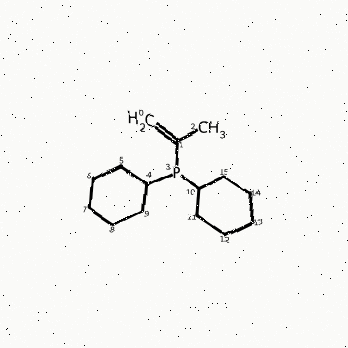 C=C(C)P(C1CCCCC1)C1CCCCC1